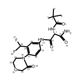 CC(C)(C)C(=O)N[C@H](C(N)=O)C(=O)Nc1ccc(N2CCOCC2=O)c(C(F)F)c1